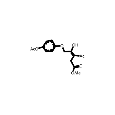 COC(=O)C/C(C(C)=O)=C(/O)COc1ccc(OC(C)=O)cc1